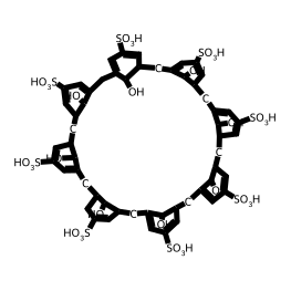 O=S(=O)(O)C1=CC2CC3=CC(S(=O)(=O)O)=CC(CC4=CC(S(=O)(=O)O)=CC(CC5C=C(S(=O)(=O)O)C=C(CC6C=C(S(=O)(=O)O)C=C(CC7C=C(S(=O)(=O)O)CC(CC8=CC(S(=O)(=O)O)=CC(CC9C=C(S(=O)(=O)O)C=C(CC(=C1)C2O)C9O)C8O)C7O)C6O)C5O)C4O)C3O